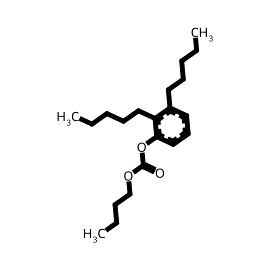 CCCCCc1cccc(OC(=O)OCCCC)c1CCCCC